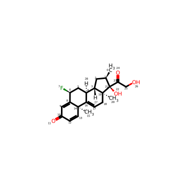 C[C@@H]1C[C@H]2[C@@H]3C[C@H](F)C4=CC(=O)C=C[C@]4(C)C3=CC[C@]2(C)[C@@]1(O)C(=O)CO